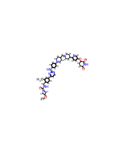 Cc1cc(-c2ccnc(Nc3ccc(N4CCC(CN5CCC(c6ccc(OC7CCC(=O)NC7=O)cn6)CC5)CC4)cc3)n2)ccc1CNC(=O)N1CC(OC(C)C)C1